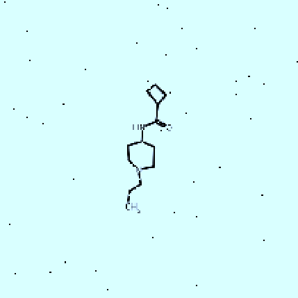 CCCN1CCC(NC(=O)C2CCC2)CC1